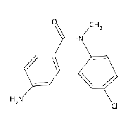 CN(C(=O)c1ccc(N)cc1)c1ccc(Cl)cc1